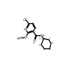 CCCOc1nc(Cl)ccc1C(=O)NC1CCCCC1